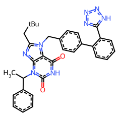 CC(c1ccccc1)n1c(=O)[nH]c(=O)c2c1nc(CC(C)(C)C)n2Cc1ccc(-c2ccccc2-c2nnn[nH]2)cc1